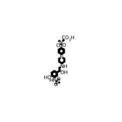 CN(CC(=O)O)S(=O)(=O)c1ccc(N2CCC(NC[C@@H](O)c3ccc(O)c(NS(C)(=O)=O)c3)CC2)cc1